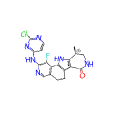 C[C@H]1CNC(=O)c2c1[nH]c1c2CCc2cnc(Nc3ccnc(Cl)n3)c(F)c2-1